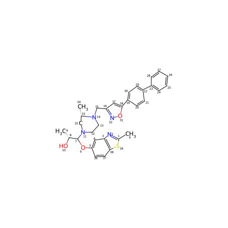 Cc1nc2cc(OC([C@@H](C)O)N3CCN(Cc4cc(-c5ccc(-c6ccccc6)cc5)on4)[C@@H](C)C3)ccc2s1